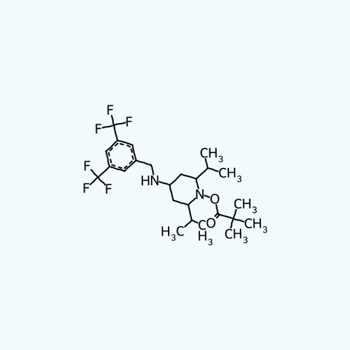 CC(C)C1CC(NCc2cc(C(F)(F)F)cc(C(F)(F)F)c2)CC(C(C)C)N1OC(=O)C(C)(C)C